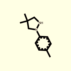 Cc1ccc(N2CC(C)(C)CN2)cc1